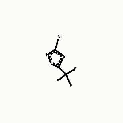 [NH]c1nnc(C(F)(F)F)s1